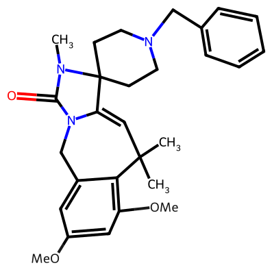 COc1cc2c(c(OC)c1)C(C)(C)C=C1N(C2)C(=O)N(C)C12CCN(Cc1ccccc1)CC2